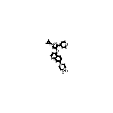 O=S1(=O)CCN(c2ccc3c(Oc4cn(C5CC5)nc4C4CCOCC4)ccnc3c2)CC1